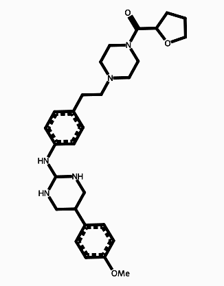 COc1ccc(C2CNC(Nc3ccc(CCN4CCN(C(=O)C5CCCO5)CC4)cc3)NC2)cc1